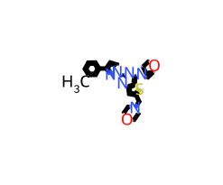 Cc1cccc(-c2ccn(-c3nc(N4CC5CC4CO5)c4sc(CN5CCOCC5)cc4n3)n2)c1